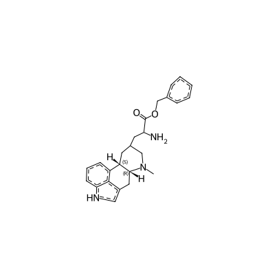 CN1CC(CC(N)C(=O)OCc2ccccc2)C[C@H]2c3cccc4[nH]cc(c34)C[C@H]21